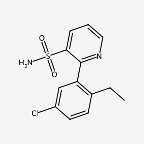 CCc1ccc(Cl)cc1-c1ncccc1S(N)(=O)=O